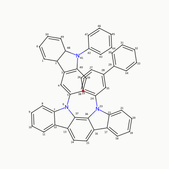 C1=CC2c3cc(-n4c5ccccc5c5ccc6c7ccccc7n(-c7cccc(-c8ccccc8)c7)c6c54)ccc3N(c3ccccc3)C2C=C1